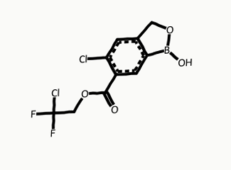 O=C(OCC(F)(F)Cl)c1cc2c(cc1Cl)COB2O